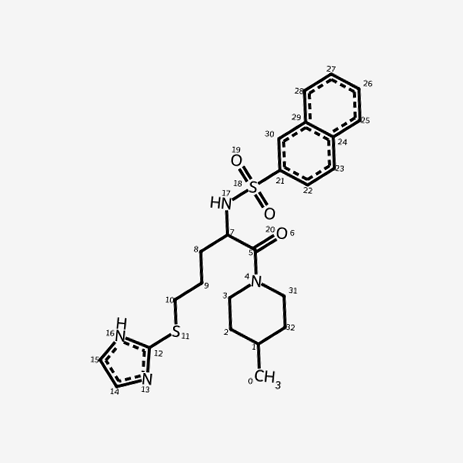 CC1CCN(C(=O)C(CCCSc2ncc[nH]2)NS(=O)(=O)c2ccc3ccccc3c2)CC1